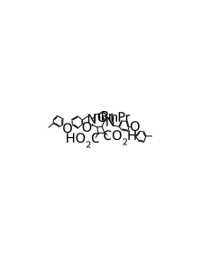 CCCN(Cc1ccc(Oc2cccc(C)c2)cc1)C(=O)C1C(C(=O)O)C(C(=O)O)C1C(=O)N(CCC)Cc1ccc(Oc2cccc(C)c2)cc1